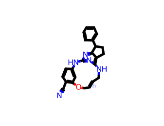 N#Cc1ccc2cc1OC/C=C/CNc1nc(nc3c1CCC3c1ccccc1)N2